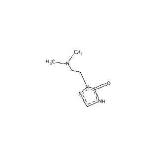 CN(C)CCn1nc[nH]c1=O